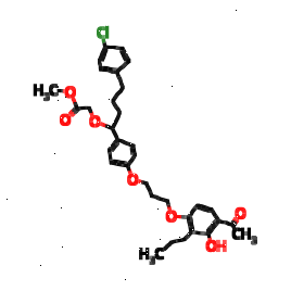 CCCc1c(OCCCOc2ccc(C(CCCc3ccc(Cl)cc3)OCC(=O)OC)cc2)ccc(C(C)=O)c1O